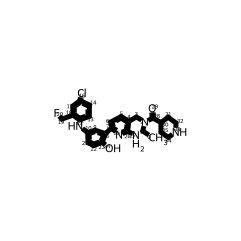 CCN(Cc1ccc(-c2cc(Nc3ccc(Cl)cc3CF)ccc2O)nc1N)C(=O)C1CCNCC1